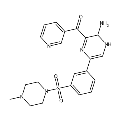 CN1CCN(S(=O)(=O)c2cccc(C3=CNC(N)C(C(=O)c4cccnc4)=N3)c2)CC1